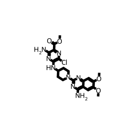 COC(=O)c1nc(Cl)c(NC2CCN(c3nc(N)c4cc(OC)c(OC)cc4n3)CC2)nc1N